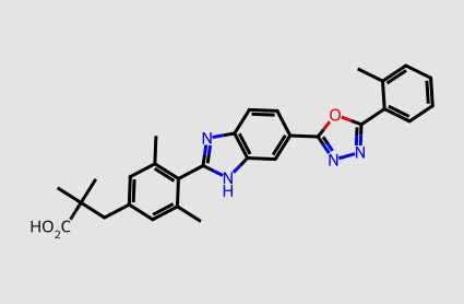 Cc1ccccc1-c1nnc(-c2ccc3nc(-c4c(C)cc(CC(C)(C)C(=O)O)cc4C)[nH]c3c2)o1